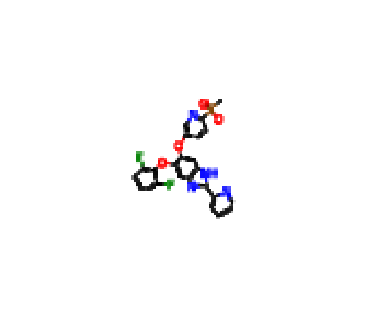 CS(=O)(=O)c1ccc(Oc2cc3[nH]c(-c4ccccn4)nc3cc2Oc2c(F)cccc2F)cn1